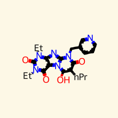 CCCc1c(O)n2c3c(=O)n(CC)c(=O)n(CC)c3nc2n(Cc2cccnc2)c1=O